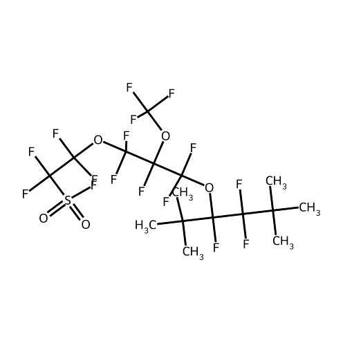 CC(C)(C)C(F)(F)C(F)(OC(F)(F)C(F)(OC(F)(F)F)C(F)(F)OC(F)(F)C(F)(F)S(=O)(=O)F)C(C)(C)C